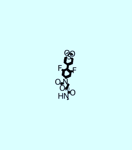 CNC(=O)[C@H]1CN(c2cc(F)c(C3=CCS(=O)(=O)C=C3)c(F)c2)C(=O)O1